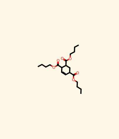 CCCCOC(=O)C1C=CC(C(=O)OCCCC)C(C(=O)OCCCC)C1